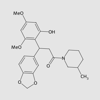 COc1cc(O)c(C(CC(=O)N2CCCC(C)C2)c2ccc3c(c2)OCO3)c(OC)c1